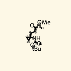 CON(C)C(=O)CCC1(NC(=O)OC(C)(C)C)CC1